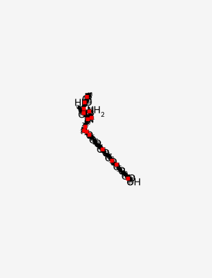 CCCN(CCCNC(=O)OC1CCC1)C(=O)C1=Cc2c(cnn2CCCCCN(C)CCOCCOCCOCCOCCOCCOCCOCCOCCOCCOCCC(=O)O)N=C(N)C1